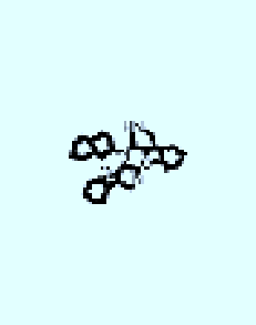 C1=C(N(c2ccc3ccccc3c2)c2cncc3c2oc2ccccc23)c2oc3ccccc3c2CN1